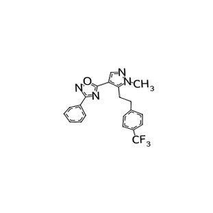 Cn1ncc(-c2nc(-c3ccccc3)no2)c1CCc1ccc(C(F)(F)F)cc1